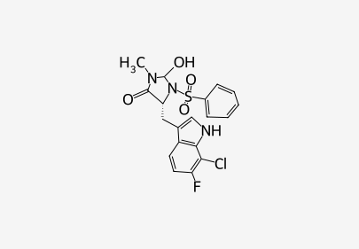 CN1C(=O)[C@@H](Cc2c[nH]c3c(Cl)c(F)ccc23)N(S(=O)(=O)c2ccccc2)C1O